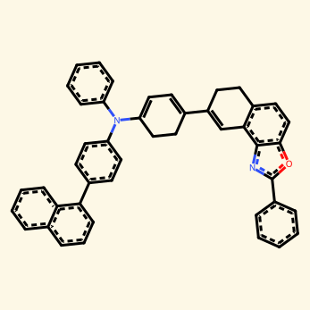 C1=C(C2=Cc3c(ccc4oc(-c5ccccc5)nc34)CC2)CCC(N(c2ccccc2)c2ccc(-c3cccc4ccccc34)cc2)=C1